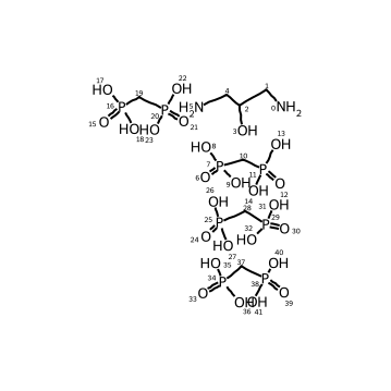 NCC(O)CN.O=P(O)(O)CP(=O)(O)O.O=P(O)(O)CP(=O)(O)O.O=P(O)(O)CP(=O)(O)O.O=P(O)(O)CP(=O)(O)O